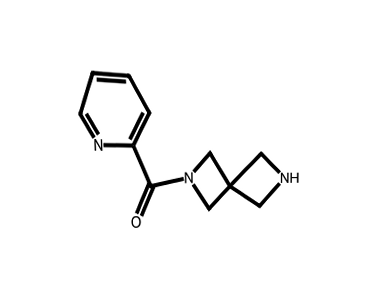 O=C(c1ccccn1)N1CC2(CNC2)C1